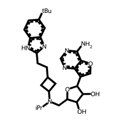 CC(C)N(CC1OC(c2coc3c(N)ncnc23)C(O)C1O)C1CC(CCc2nc3cc(C(C)(C)C)ccc3[nH]2)C1